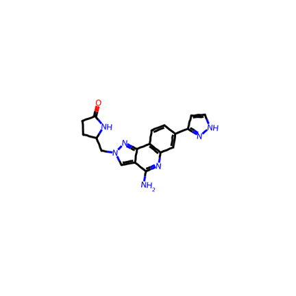 Nc1nc2cc(-c3cc[nH]n3)ccc2c2nn(CC3CCC(=O)N3)cc12